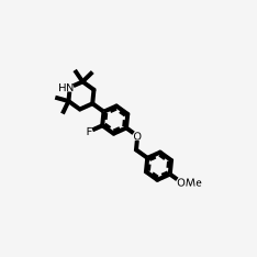 COc1ccc(COc2ccc(C3CC(C)(C)NC(C)(C)C3)c(F)c2)cc1